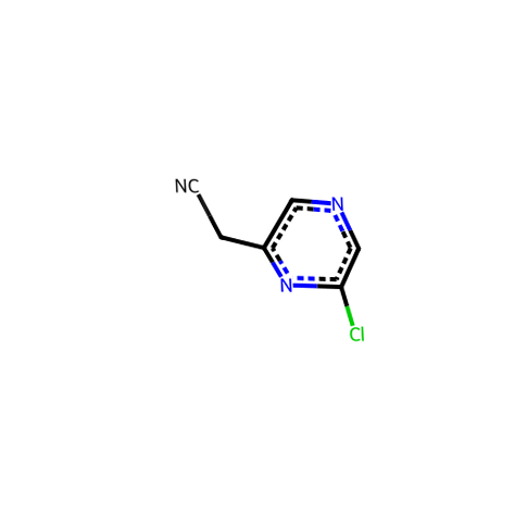 N#CCc1cncc(Cl)n1